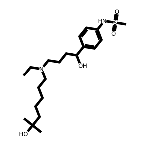 CCN(CCCCCC(C)(C)O)CCCC(O)c1ccc(NS(C)(=O)=O)cc1